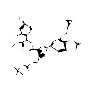 COC(=O)C(NC(=O)c1nc(-c2ccc(OC(F)F)c(OCC3CC3)c2)oc1[C@H](C)NC(=O)OC(C)(C)C)c1ccc(F)cc1F